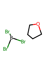 BrB(Br)Br.C1CCOC1